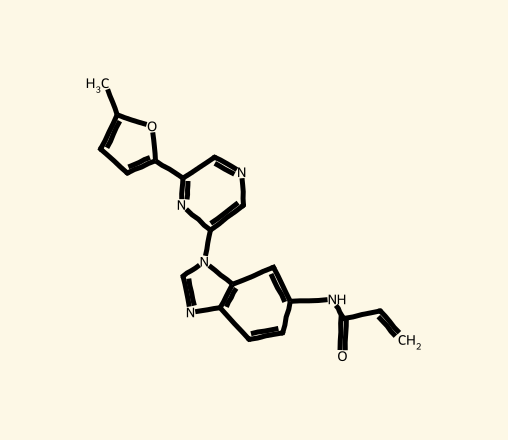 C=CC(=O)Nc1ccc2ncn(-c3cncc(-c4ccc(C)o4)n3)c2c1